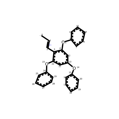 [CH2]/C=C/c1c(Oc2ccccc2)cc(Oc2ccccc2)cc1Oc1ccccc1